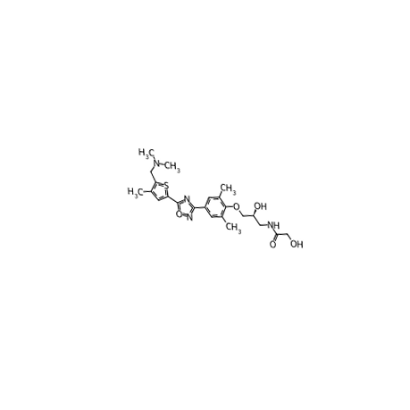 Cc1cc(-c2nc(-c3cc(C)c(OC[C@@H](O)CNC(=O)CO)c(C)c3)no2)sc1CN(C)C